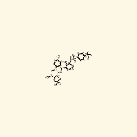 COc1ccc(Cl)c(Oc2c(COC[C@@H]3OC(C)(C)O[C@H]3CO)ncnc2NS(=O)(=O)c2ccc(C(C)(C)C)cc2)c1